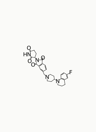 O=C1CCC(N2C(=O)c3ccc(CN4CCC(N5CCCc6cc(F)ccc65)CC4)cc3C2=O)C(=O)N1